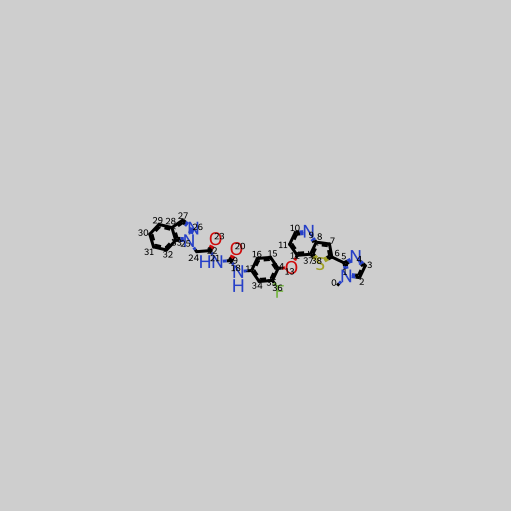 Cn1ccnc1-c1cc2nccc(Oc3ccc(NC(=O)NC(=O)Cn4ncc5ccccc54)cc3F)c2s1